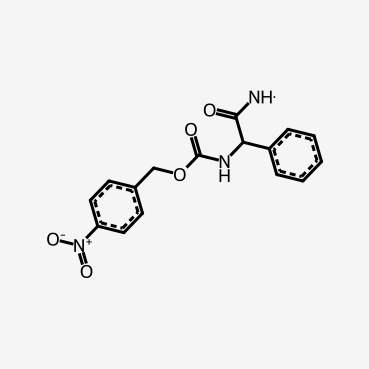 [NH]C(=O)C(NC(=O)OCc1ccc([N+](=O)[O-])cc1)c1ccccc1